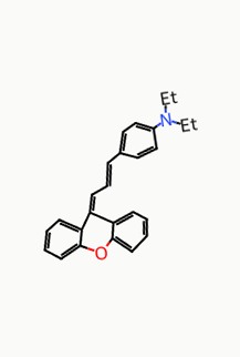 CCN(CC)c1ccc(C=CC=C2c3ccccc3Oc3ccccc32)cc1